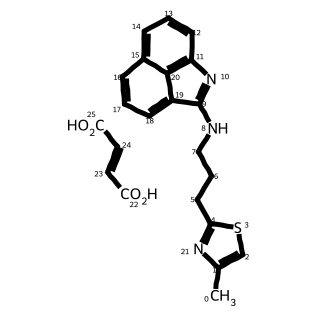 Cc1csc(CCCNC2=Nc3cccc4cccc2c34)n1.O=C(O)/C=C/C(=O)O